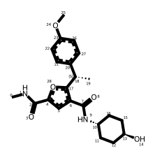 CNC(=O)c1cc(C(=O)N[C@H]2CC[C@H](O)CC2)c([C@@H](C)c2ccc(OC)cc2)o1